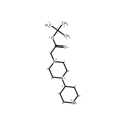 CC(C)(C)OC(=O)CN1CCN(C2CCNCC2)CC1